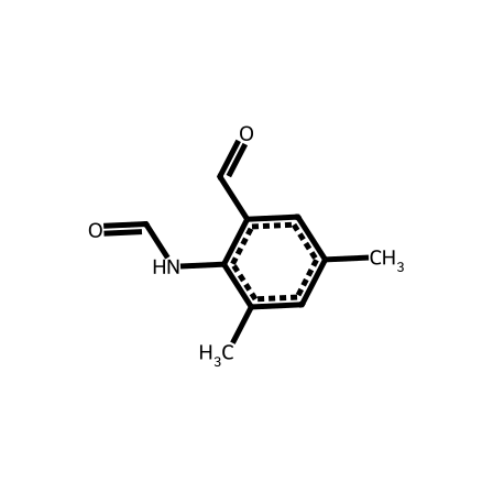 Cc1cc(C)c(NC=O)c(C=O)c1